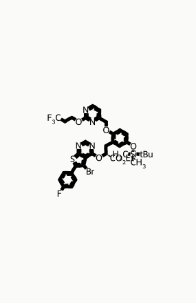 CCOC(=O)[C@@H](Cc1cc(O[Si](C)(C)C(C)(C)C)ccc1OCc1ccnc(OCCC(F)(F)F)n1)Oc1ncnc2sc(-c3ccc(F)cc3)c(Br)c12